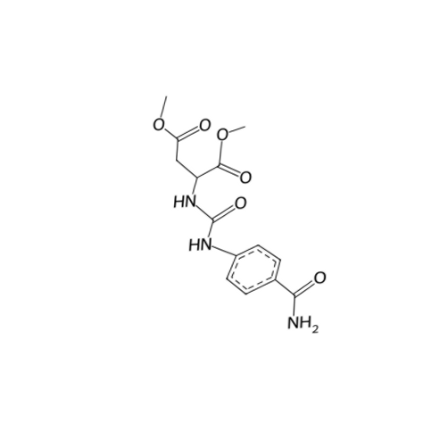 COC(=O)CC(NC(=O)Nc1ccc(C(N)=O)cc1)C(=O)OC